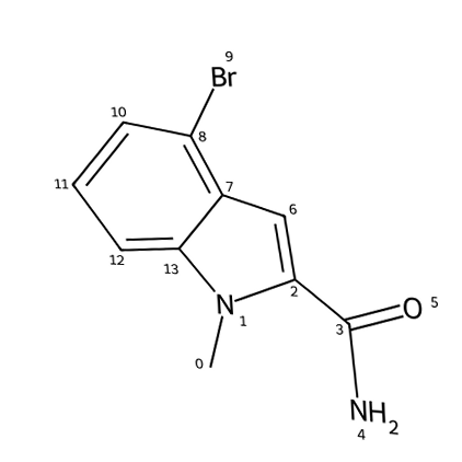 Cn1c(C(N)=O)cc2c(Br)cccc21